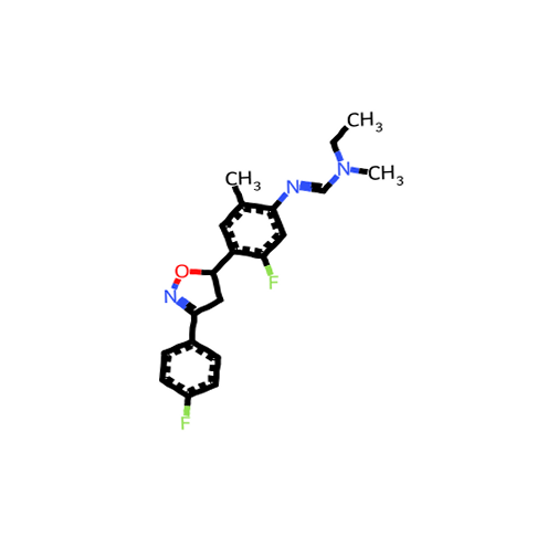 CCN(C)/C=N/c1cc(F)c(C2CC(c3ccc(F)cc3)=NO2)cc1C